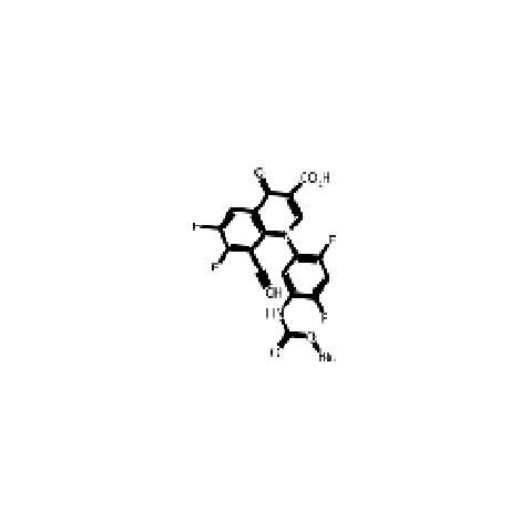 C#Cc1c(F)c(F)cc2c(=O)c(C(=O)O)cn(-c3cc(NC(=O)OC(C)(C)C)c(F)cc3F)c12